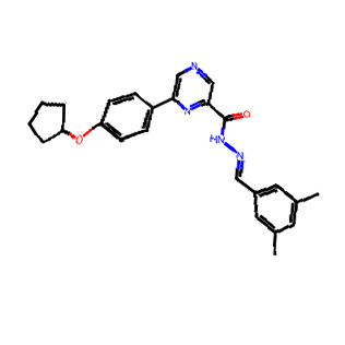 Cc1cc(C)cc(/C=N/NC(=O)c2cncc(-c3ccc(OC4CCCC4)cc3)n2)c1